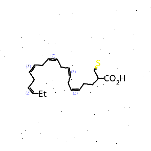 CC/C=C\C/C=C\C/C=C\C/C=C\C/C=C\CCC(C=S)C(=O)O